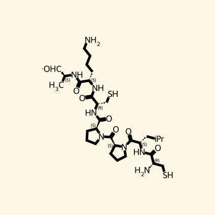 CC(C)C[C@H](NC(=O)[C@@H](N)CS)C(=O)N1CCC[C@H]1C(=O)N1CCC[C@H]1C(=O)N[C@@H](CS)C(=O)N[C@@H](CCCCN)C(=O)N[C@@H](C)[C]=O